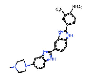 CC(=O)Nc1ccc(-c2nc3cc(-c4nc5cc(N6CCN(C)CC6)ccc5[nH]4)ccc3[nH]2)cc1[N+](=O)[O-]